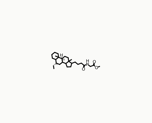 CC[C@H]1CC2C3CCC(CCCC(=O)NCC(=O)OC)C3(C)CC[C@@H]2C2(C)CCCCC12